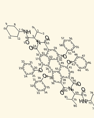 CC(C)C(C(=O)NC1CCCCC1)N1C(=O)c2cc(Oc3ccccc3)c3c4c(Oc5ccccc5)cc5c6c(cc(Oc7ccccc7)c(c7c(Oc8ccccc8)cc(c2c37)C1=O)c64)C(=O)N(C(C(=O)NC1CCCCC1)C(C)C)C5=O